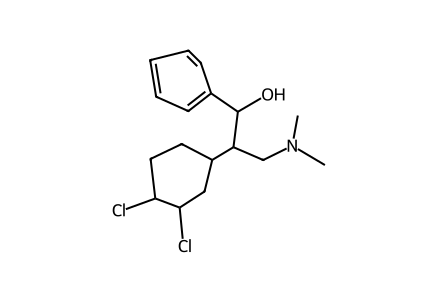 CN(C)CC(C1CCC(Cl)C(Cl)C1)C(O)c1ccccc1